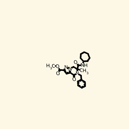 COC(=O)c1cc2n(n1)CC(C)(C(=O)NC1CCCCCC1)N(Cc1ccccc1)C2=O